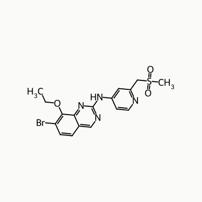 CCOc1c(Br)ccc2cnc(Nc3ccnc(CS(C)(=O)=O)c3)nc12